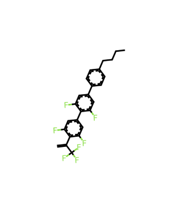 C=C(c1c(F)cc(-c2c(F)cc(-c3ccc(CCCC)cc3)cc2F)cc1F)C(F)(F)F